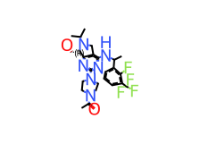 CC(=O)N1CCN(c2nc(NC(C)c3cccc(C(F)(F)F)c3F)c3c(n2)[C@H](C=O)N(C(C)C)C3)CC1